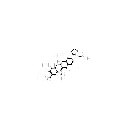 COc1c([C@@H]2CCCN2CC(C)C)cc(O)c2c1C[C@H]1C[C@H]3[C@H](N)C(O)=C(C(N)=O)C(=O)[C@@]3(O)C(O)=C1C2=O